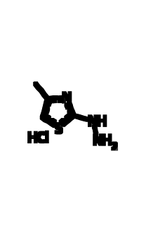 Cc1csc(NN)n1.Cl